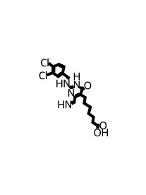 N=Cc1nc(NCc2ccc(Cl)c(Cl)c2)[nH]c(=O)c1CCCCCCC(=O)O